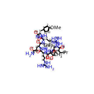 COc1ccc(C[C@H](NC(=O)[C@H](CCCNC(=N)N)N(C)C(=O)[C@H](CCC(N)=O)NC(=O)[C@H](CCCNC(=N)N)NC(=O)[C@@H](NC(=O)[C@@H](NC(=O)[C@@H](C)CC(C)C)C(C)C)[C@@H](C)O)C(N)=O)cc1